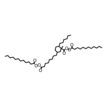 CCCCCCCCCCCC(=O)OOC(=O)CCCCCCCC1CCC(CCCCCC)C(C)(C(=O)OOC(=O)CCCCCCCCCCC)C1